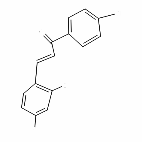 O=C(C=Cc1ccc(Cl)cc1Cl)c1ccc(Cl)cc1